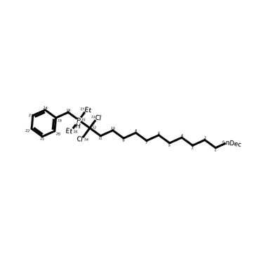 CCCCCCCCCCCCCCCCCCCCCC(Cl)(Cl)[PH](CC)(CC)Cc1ccccc1